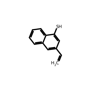 C=Cc1cc(S)c2ccccc2c1